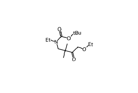 CCOCC(=O)C(C)(C)CN(CC)C(=O)OC(C)(C)C